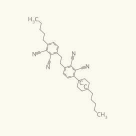 CCCCCc1ccc(CCc2ccc(C34CCC(CCCCC)(CC3)CC4)c(C#N)c2C#N)c(C#N)c1C#N